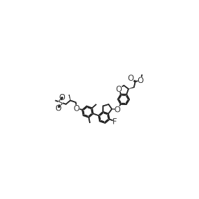 COC(=O)C[C@@H]1COc2cc(O[C@@H]3CCc4c(-c5c(C)cc(OC[C@H](C)CS(C)(=O)=O)cc5C)ccc(F)c43)ccc21